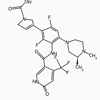 C[C@H]1CN(c2cc(F)c(C3=CCN(C(=O)O)C3)c(F)c2NC(=O)c2c[nH]c(=O)cc2C(F)(F)F)CCN1C